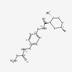 CC(C)[C@@H]1CC[C@@H](C)C[C@H]1C(=O)NCc1ccc(CNC(=O)CN)cc1